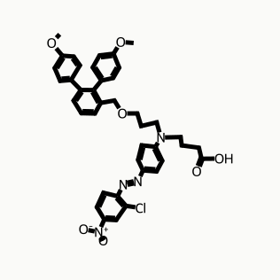 COc1ccc(-c2cccc(COCCCN(CCCC(=O)O)c3ccc(N=Nc4ccc([N+](=O)[O-])cc4Cl)cc3)c2-c2ccc(OC)cc2)cc1